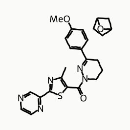 C1CC2CC1O2.COc1ccc(C2=NN(C(=O)c3sc(-c4cnccn4)nc3C)CCC2)cc1